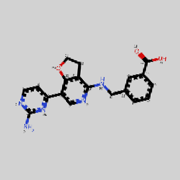 Nc1nccc(-c2cnc(NCc3cccc(C(=O)O)c3)c3c2OCC3)n1